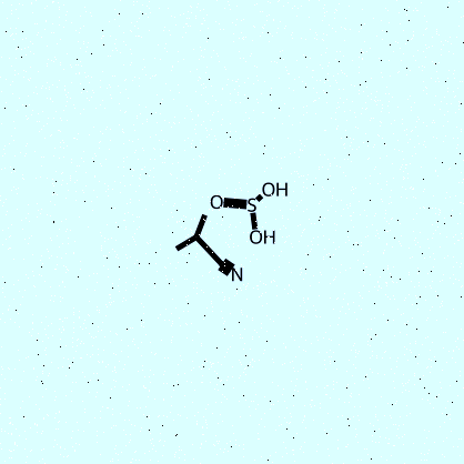 CC(C)C#N.O=S(O)O